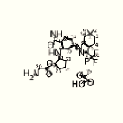 CC1(C)CCc2c(C(F)(F)F)nn(-c3ccc(C(N)=O)c(N[C@H]4CCC[C@@H]4OC(=O)CN)c3)c2C1.CS(=O)(=O)O